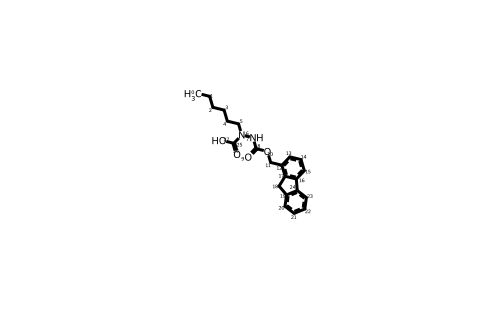 CCCCCCN(NC(=O)OCc1cccc2c1Cc1ccccc1-2)C(=O)O